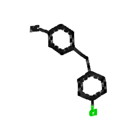 N#Cc1ccc(Cc2ccc(Cl)cc2)cc1